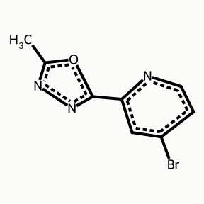 Cc1nnc(-c2cc(Br)ccn2)o1